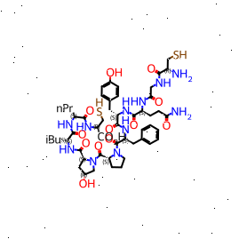 CCC[C@H](NC(=O)[C@@H](NC(=O)[C@@H]1C[C@@H](O)CN1C(=O)[C@@H]1CCCN1C(=O)[C@H](Cc1ccccc1)NC(=O)[C@H](Cc1ccc(O)cc1)NC(=O)[C@H](CCC(N)=O)NC(=O)CNC(=O)[C@@H](N)CS)[C@@H](C)CC)C(=O)N[C@@H](CS)C(=O)O